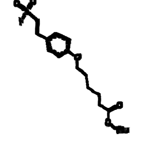 CC(C)(C)OC(=O)CCCCCOc1ccc(/C=C/S(=O)(=O)F)cc1